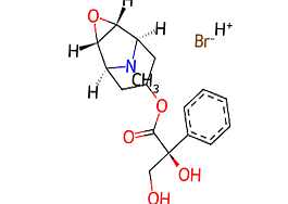 CN1[C@@H]2CC(OC(=O)[C@@](O)(CO)c3ccccc3)C[C@H]1[C@@H]1O[C@@H]12.[Br-].[H+]